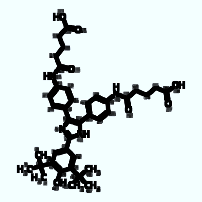 CC(C)(C)c1cc(-c2nc(-c3ccc(NC(=O)CCCC(=O)O)cc3)c(-c3ccc(NC(=O)CCCC(=O)O)cc3)[nH]2)cc(C(C)(C)C)c1O